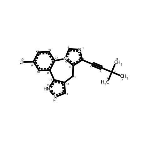 CC(C)(C)C#Cc1ncn2c1Cc1cn[nH]c1-c1cc(Cl)ccc1-2